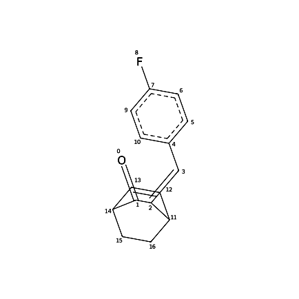 O=C1/C(=C\c2ccc(F)cc2)C2C=CC1CC2